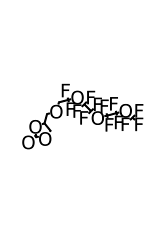 O=C1OCC(COCC(F)(F)OC(F)(F)C(F)(F)OC(F)(F)C(F)(F)OC(F)(F)F)O1